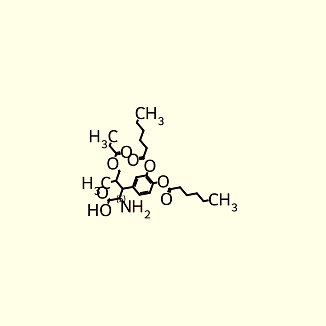 CCCCCC(=O)Oc1ccc(C(C(C)COC(=O)CC)[C@H](N)C(=O)O)cc1OC(=O)CCCCC